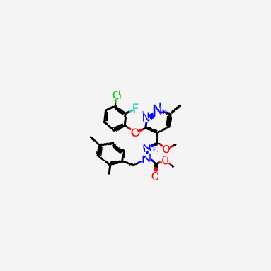 COC(=O)N(Cc1ccc(C)cc1C)/N=C(\OC)c1cc(C)nnc1Oc1cccc(Cl)c1F